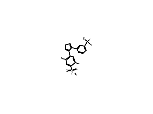 CS(=O)(=O)c1cc(F)c(C2=CCC=C2c2cccc(C(F)(F)F)c2)cc1F